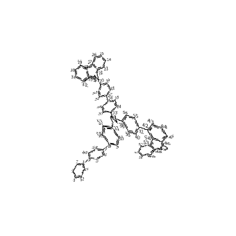 c1ccc(-c2ccc(-c3ccc(N(c4ccc(-c5ccc(-n6c7ccccc7c7ccccc76)cc5)cc4)c4ccc(-c5cccc6oc7ccccc7c56)cc4)cc3)cc2)cc1